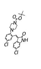 CC(C)(C)OC(=O)N1CCN(c2ccc(Cl)cc2/C=C2/C(=O)Nc3cc(Cl)ccc32)CC1